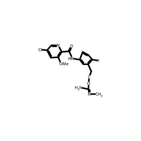 C/N=C(/N)OCCc1cc(NC(=O)c2ncc(Cl)cc2OC)ccc1F